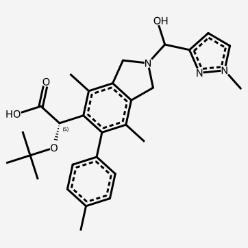 Cc1ccc(-c2c(C)c3c(c(C)c2[C@H](OC(C)(C)C)C(=O)O)CN(C(O)c2ccn(C)n2)C3)cc1